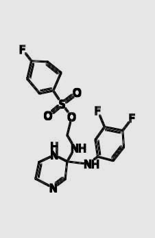 O=S(=O)(OCNC1(Nc2ccc(F)c(F)c2)C=NC=CN1)c1ccc(F)cc1